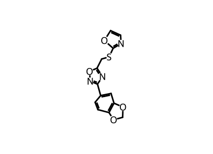 c1coc(SCc2nc(-c3ccc4c(c3)OCO4)no2)n1